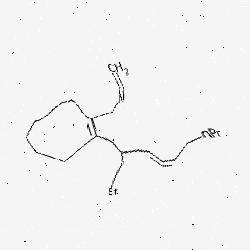 C=NC1=C(C(/C=C/CCC)CC)CCCC1